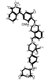 COc1cc(-c2cn(C)c(=O)c3cnccc23)cc(Cl)c1CN1CCc2c(cccc2CN2CCC(c3ccc(NC4CCC(=O)NC4=O)cc3)C(F)(F)C2)C1